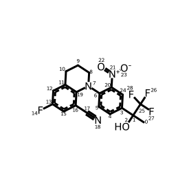 CC(O)(c1ccc(N2CCCc3cc(F)cc(C#N)c32)c([N+](=O)[O-])c1)C(F)(F)F